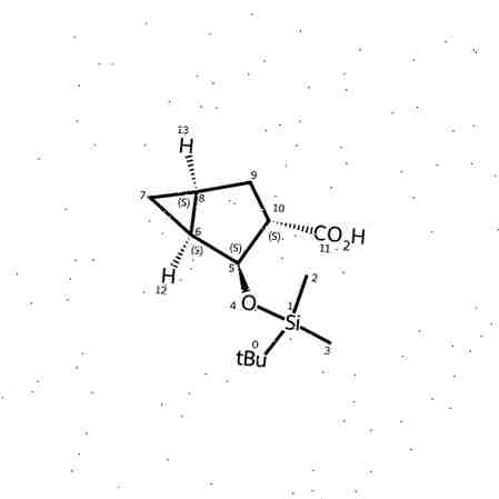 CC(C)(C)[Si](C)(C)O[C@H]1[C@H]2C[C@H]2C[C@@H]1C(=O)O